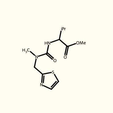 COC(=O)C(NC(=O)N(C)Cc1nccs1)C(C)C